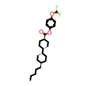 CCCCC[C@H]1CC[C@H]([C@H]2CC[C@H](C(=O)Oc3ccc(OC(F)F)cc3)CC2)CC1